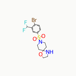 O=S(=O)(c1ccc(Br)c(C(F)F)c1)N1CCC2(CC1)NCCO2